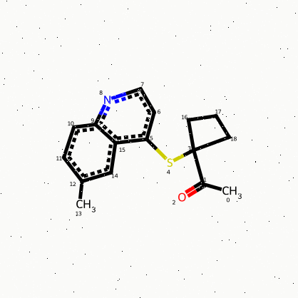 CC(=O)C1(Sc2ccnc3ccc(C)cc23)CCC1